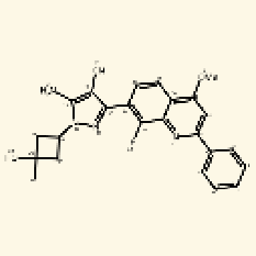 COc1cc(-c2ccccc2)nc2c(F)c(-c3nn(C4CC(C)(O)C4)c(N)c3C#N)ccc12